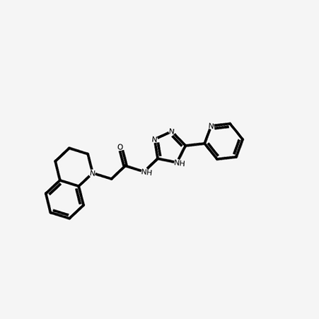 O=C(CN1CCCc2ccccc21)Nc1nnc(-c2ccccn2)[nH]1